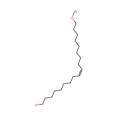 CC(C)OCCCCCCCC/C=C\CCCCCCCC[O]